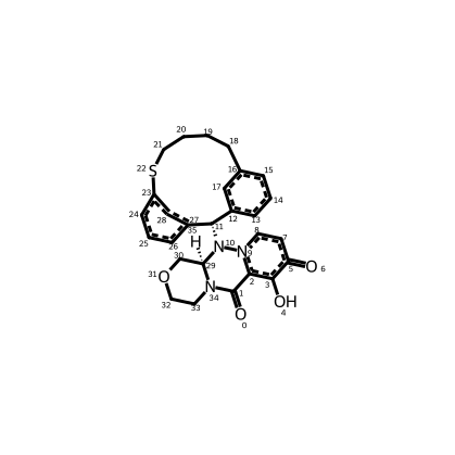 O=C1c2c(O)c(=O)ccn2N([C@H]2c3cccc(c3)CCCCSc3cccc2c3)[C@@H]2COCCN12